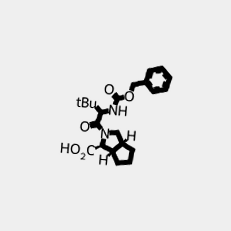 CC(C)(C)C(NC(=O)OCc1ccccc1)C(=O)N1C[C@@H]2CCC[C@@H]2[C@H]1C(=O)O